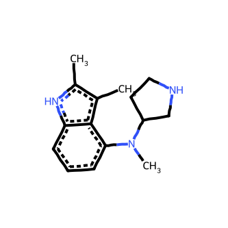 Cc1[nH]c2cccc(N(C)C3CCNC3)c2c1C